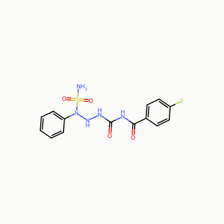 NS(=O)(=O)N(NNC(=O)NC(=O)c1ccc(F)cc1)c1ccccc1